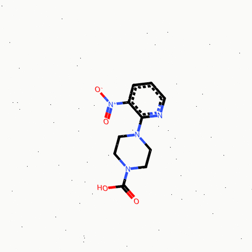 O=C(O)N1CCN(c2ncccc2[N+](=O)[O-])CC1